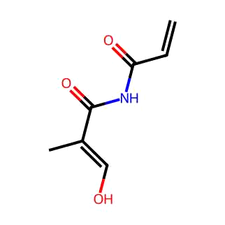 C=CC(=O)NC(=O)C(C)=CO